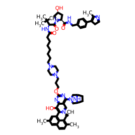 C#Cc1c(C)ccc2cc(C)cc(-c3ncc4c(N5CC6CCC(C5)N6)nc(OCCCN5CCN(CCCCCCCC(=O)N[C@H](C(=O)N6C[C@H](O)C[C@H]6C(=O)NCc6ccc(C7=C(C)N=CC7)cc6)C(C)(C)C)CC5)nc4c3O)c12